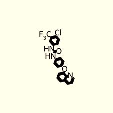 O=C(Nc1ccc(Oc2cccc3cccnc23)cc1)Nc1ccc(Cl)c(C(F)(F)F)c1